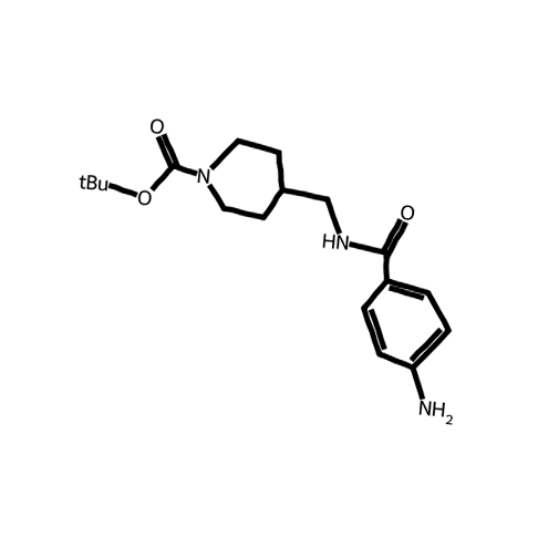 CC(C)(C)OC(=O)N1CCC(CNC(=O)c2ccc(N)cc2)CC1